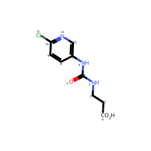 O=C(O)CCNC(=O)Nc1ccc(Cl)nc1